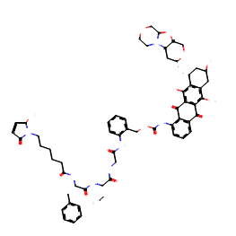 CO[C@H]1OCCN2[C@@H]1O[C@@H]1[C@H](C)O[C@@H](O[C@H]3C[C@](O)(C(C)=O)Cc4c(O)c5c(c(O)c43)C(=O)c3c(NC(=O)OCc4ccccc4NC(=O)CNC(=O)[C@H](CC(C)C)NC(=O)[C@H](Cc4ccccc4)NC(=O)CCCCCN4C(=O)C=CC4O)cccc3C5=O)C[C@@H]12